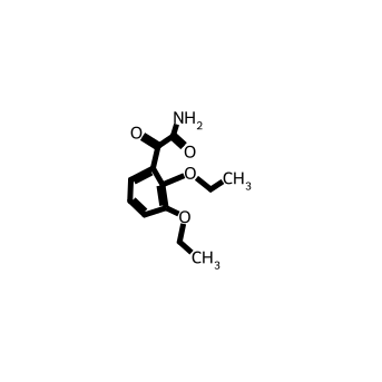 CCOc1cccc(C(=O)C(N)=O)c1OCC